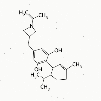 C=C(C)N1CC(Cc2cc(O)c(C3C=C(C)CCC3C(C)C)c(O)c2)C1